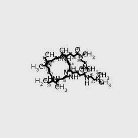 C=CC1=C(C)c2cc3[nH]c(cc4nc(cc5[nH]c(cc1n2)c(C)c5CCC(=O)N(C)CCN(C)C)C(CCC(=O)NCCN(C)C)N4)c(C)c3C=C